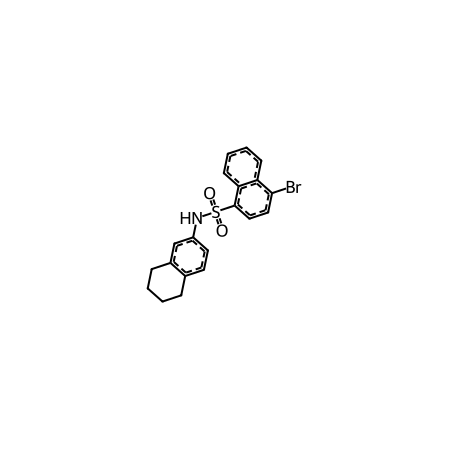 O=S(=O)(Nc1ccc2c(c1)CCCC2)c1ccc(Br)c2ccccc12